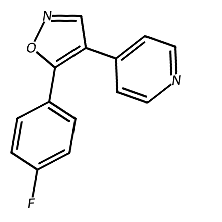 Fc1ccc(-c2oncc2-c2ccncc2)cc1